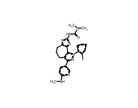 CNc1ccc(-c2nn(-c3ccccc3F)c3c2CCCc2nc(NC(=O)N(C)C)sc2-3)cn1